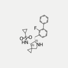 O=S(=O)(N[C@@H]1[C@H](Cc2cccc(-c3ccccc3)c2F)NCC12CC2)C1CC1